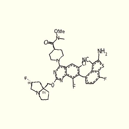 CON(C)C(=O)C1CCN(c2nc(OC[C@@]34CCCN3C[C@H](F)C4)nc3c(F)c(-c4ccc(F)c5sc(N)c(C#N)c45)c(Cl)cc23)CC1